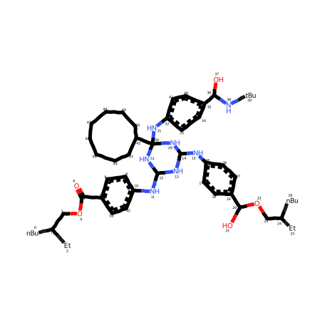 CCCCC(CC)COC(=O)c1ccc(NC2NC(Nc3ccc(C(O)OCC(CC)CCCC)cc3)NC(Nc3ccc(C(O)NC(C)(C)C)cc3)(C3CCCCCCCC3)N2)cc1